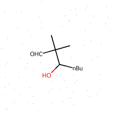 CCCCC(O)C(C)(C)C=O